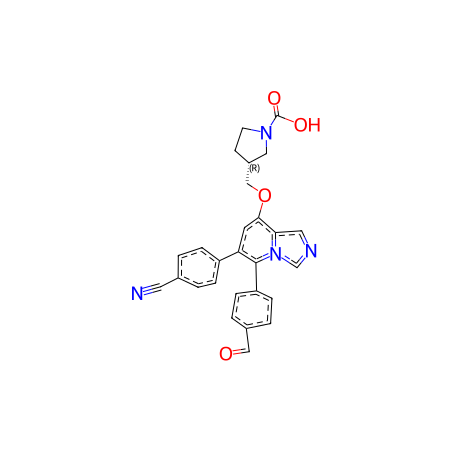 N#Cc1ccc(-c2cc(OC[C@@H]3CCN(C(=O)O)C3)c3cncn3c2-c2ccc(C=O)cc2)cc1